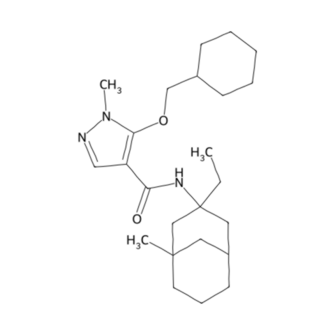 CCC1(NC(=O)c2cnn(C)c2OCC2CCCCC2)CC2CCCC(C)(C2)C1